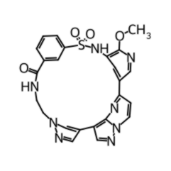 COc1ncc2cc1NS(=O)(=O)c1cccc(c1)C(=O)NCCn1cc(cn1)-c1cnn3ccc-2nc13